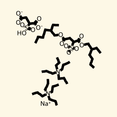 CCCCC(CC)COC(=O)CC(C(=O)OCC(CC)CCCC)S(=O)(=O)[O-].CCC[N+](CCC)(CCC)CCC.CCC[N+](CCC)(CCC)CCC.O=C([O-])CC(C(=O)[O-])S(=O)(=O)O.[Na+]